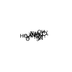 Cc1nn(C2CCCCC2)c2c(O)nc(-n3cc(C(=O)O)cn3)nc12